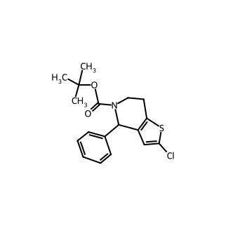 CC(C)(C)OC(=O)N1CCc2sc(Cl)cc2C1c1ccccc1